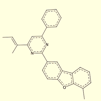 C/C=C(\C)c1cc(-c2ccccc2)nc(-c2ccc3oc4c(C)cccc4c3c2)n1